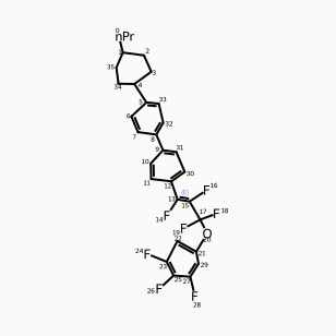 CCCC1CCC(c2ccc(-c3ccc(/C(F)=C(\F)C(F)(F)Oc4cc(F)c(F)c(F)c4)cc3)cc2)CC1